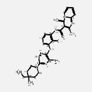 Cc1nc2ccccn2c(=O)c1C(=O)Nc1cccc(Sc2nnc(N3CCC(C)(CN)CC3)nc2N)c1Cl